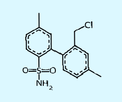 Cc1ccc(-c2cc(C)ccc2S(N)(=O)=O)c(CCl)c1